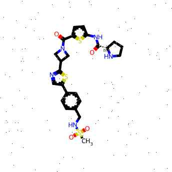 CS(=O)(=O)NCc1ccc(-c2cnc(C3CN(C(=O)c4ccc(NC(=O)[C@@H]5CCCN5)s4)C3)s2)cc1